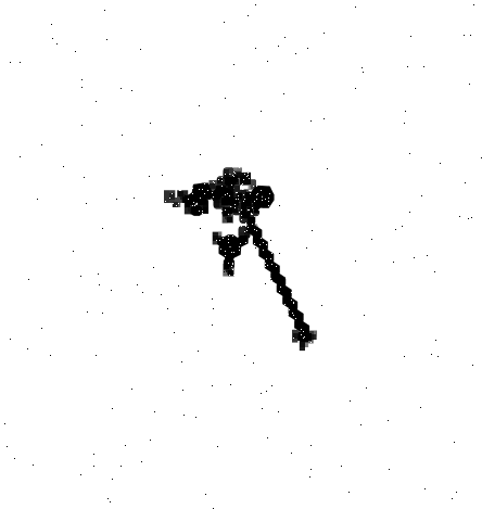 CC1(C)O[C@H]2[C@H](c3ccc4c(N)ncnn34)O[C@](C#N)(COP(=O)(OC[C@@H](CCCCCCCCCCCCCCCCCC(F)(F)F)OCc3cc(F)cc(C#N)c3)Oc3ccccc3Cl)[C@H]2O1